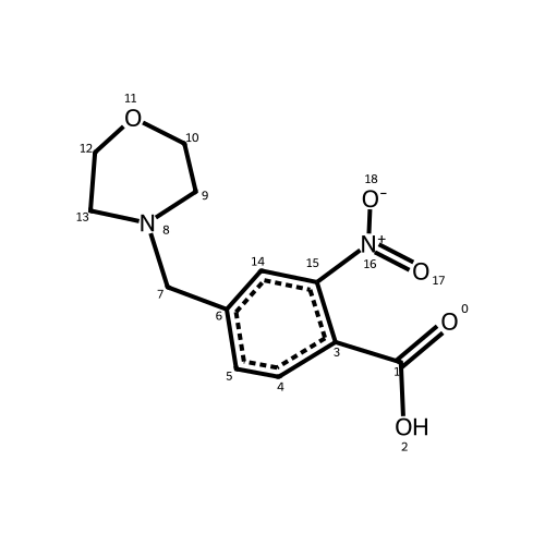 O=C(O)c1ccc(CN2CCOCC2)cc1[N+](=O)[O-]